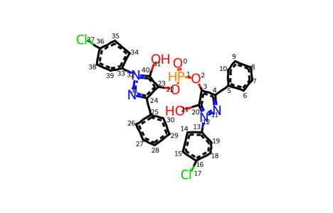 O=[PH](Oc1c(-c2ccccc2)nn(-c2ccc(Cl)cc2)c1O)Oc1c(-c2ccccc2)nn(-c2ccc(Cl)cc2)c1O